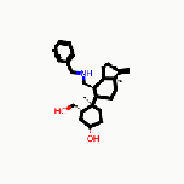 C=C1CCC2[C@H](CNCc3ccccc3)C([C@@]3(C)CC[C@H](O)C[C@@H]3CO)CC[C@]12C